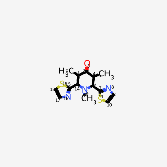 CC1C(=O)C(C)C(c2nccs2)N(C)C1c1nccs1